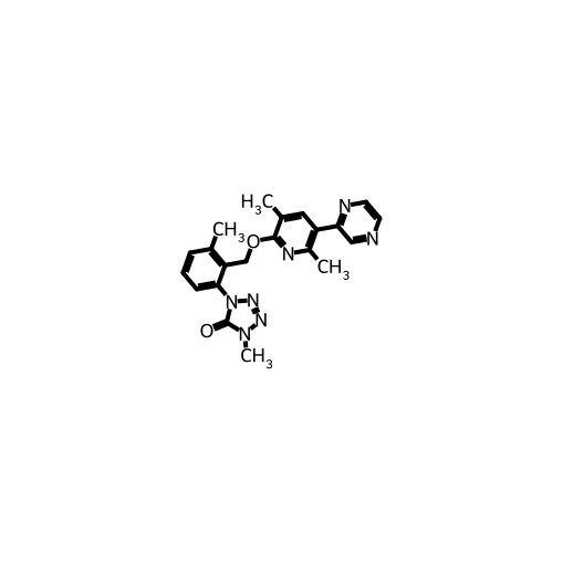 Cc1cc(-c2cnccn2)c(C)nc1OCc1c(C)cccc1-n1nnn(C)c1=O